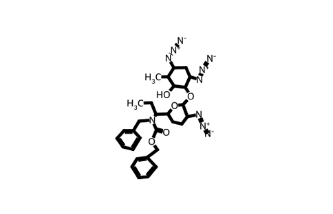 CCC(C1CCC(N=[N+]=[N-])C(OC2C(N=[N+]=[N-])CC(N=[N+]=[N-])C(C)C2O)O1)N(Cc1ccccc1)C(=O)OCc1ccccc1